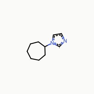 [c]1nccn1C1CCCCCC1